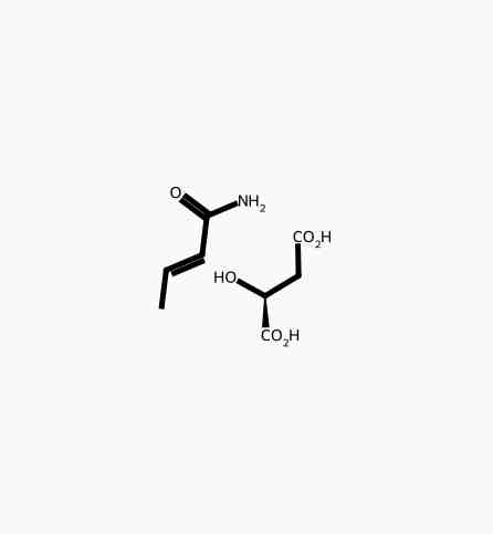 CC=CC(N)=O.O=C(O)C[C@H](O)C(=O)O